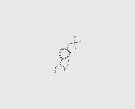 O=CC1NCc2cc(CC(F)(F)F)ccc21